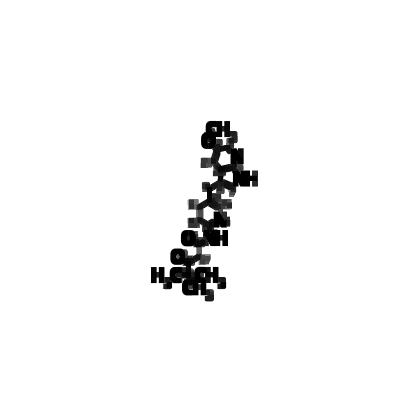 COc1cnc2[nH]cc(Cc3ccc(NC(=O)CC(=O)C(C)(C)C)nc3)c2c1